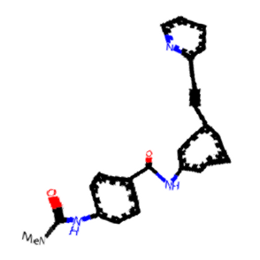 CNC(=O)Nc1ccc(C(=O)Nc2cccc(C#Cc3ccccn3)c2)cc1